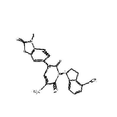 CCOC(=O)c1cn(-c2ccc3c(c2)oc(=O)n3C)c(=O)n([C@H]2CCc3c2cccc3C(F)(F)F)c1=O